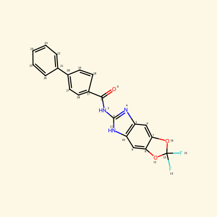 O=C(Nc1nc2cc3c(cc2[nH]1)OC(F)(F)O3)c1ccc(-c2ccccc2)cc1